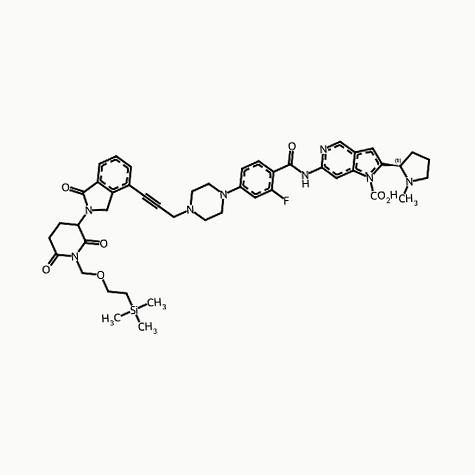 CN1CCC[C@@H]1c1cc2cnc(NC(=O)c3ccc(N4CCN(CC#Cc5cccc6c5CN(C5CCC(=O)N(COCC[Si](C)(C)C)C5=O)C6=O)CC4)cc3F)cc2n1C(=O)O